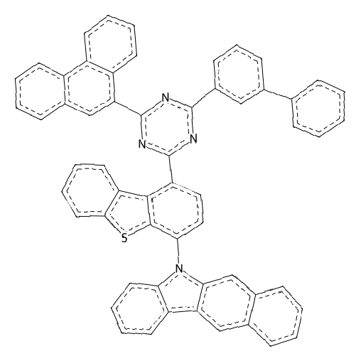 c1ccc(-c2cccc(-c3nc(-c4cc5ccccc5c5ccccc45)nc(-c4ccc(-n5c6ccccc6c6cc7ccccc7cc65)c5sc6ccccc6c45)n3)c2)cc1